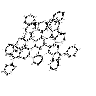 c1ccc(-c2nc(-c3ccccc3)nc(-c3c(-n4c5ccccc5c5ccccc54)c(-c4ccc5c(c4)c4ccccc4n5-c4ccccc4)c(-c4ccccc4)c(-c4ccc5c(c4)c4ccccc4n5-c4ccccc4)c3-n3c4ccccc4c4ccccc43)n2)cc1